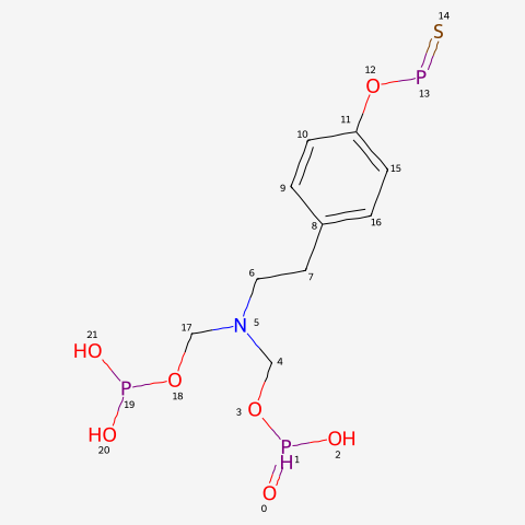 O=[PH](O)OCN(CCc1ccc(OP=S)cc1)COP(O)O